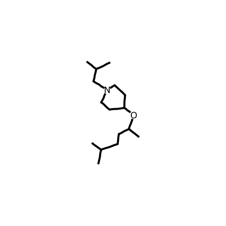 CC(C)CCC(C)OC1CCN(CC(C)C)CC1